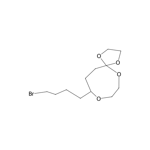 BrCCCCC1CCC2(OCCO1)OCCO2